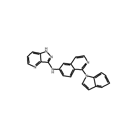 c1ccc2c(c1)ccn2-c1nccc2cc(Nc3n[nH]c4cccnc34)ccc12